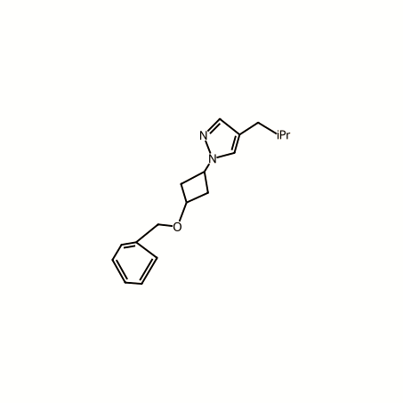 CC(C)Cc1cnn(C2CC(OCc3ccccc3)C2)c1